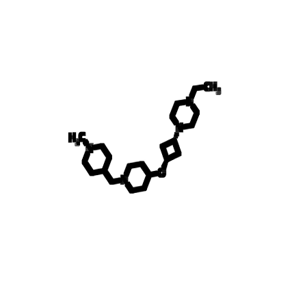 CCN1CCN([C@H]2C[C@H](OC3CCN(CC4CCN(C)CC4)CC3)C2)CC1